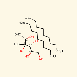 CCCCCCCCCCCCCCCCCC(=O)O.CCCCCCCCCCCCCCCCCC(=O)O.C[C@](O)([C@H](O)[C@H](O)CO)[C@@H](O)C=O